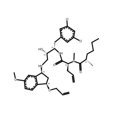 C=CCO[C@@H]1C[C@H](NC[C@H](O)[C@H](Cc2cc(Cl)cc(Cl)c2)NC(=O)[C@H](CC=C)N(C)C(=O)[C@@H](C)CCCC)c2cc(OC)ccc21